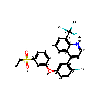 CCS(=O)(=O)c1cccc(Oc2ccc(F)c(-c3ccnc4c(C(F)(F)F)cccc34)c2)c1